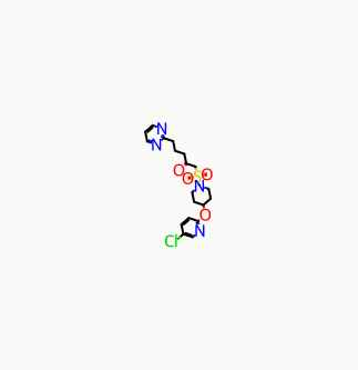 O=C(CCCc1ncccn1)CS(=O)(=O)N1CCC(Oc2ccc(Cl)cn2)CC1